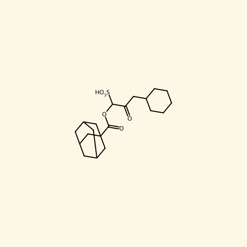 O=C(CC1CCCCC1)C(OC(=O)C12CC3CC(CC(C3)C1)C2)S(=O)(=O)O